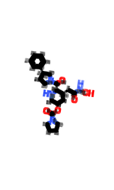 O=C(C[C@@H]1C[C@H](OC(=O)N2CCCC2)CN[C@@H]1C(=O)N1CC[C@H](c2ccccc2)C1)NO